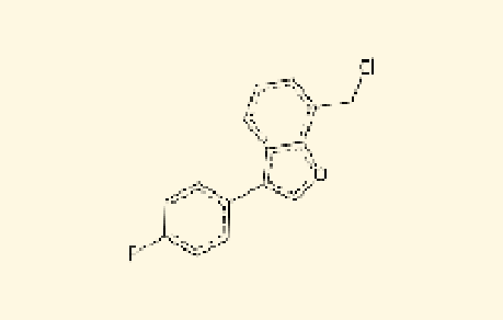 Fc1ccc(-c2coc3c(CCl)cccc23)cc1